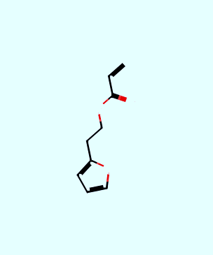 C=CC(=O)OCCc1ccco1